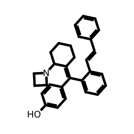 Oc1ccc(C(=C2CCCCC2N2CCC2)c2ccccc2C=Cc2ccccc2)cc1